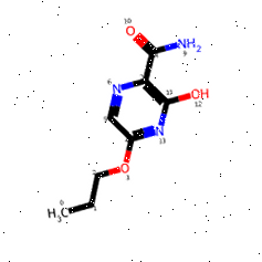 CCCOc1cnc(C(N)=O)c(O)n1